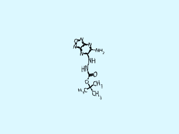 CC(C)(C)OC(=O)NNc1nc2nonc2nc1N